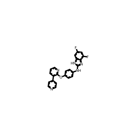 Fc1cc(F)c2nc(Nc3ccc(Oc4ncccc4-c4ccncc4)cc3)[nH]c2c1